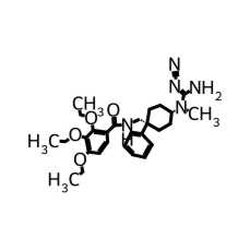 CCOc1ccc(C(=O)NC[C@]2(c3ccccc3)CC[C@H](N(C)C(N)=NC#N)CC2)c(OCC)c1OCC